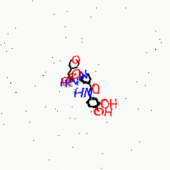 O=C(Nc1ccc(O)c(O)c1)c1ccnc(NS(=O)(=O)CC2CCOCC2)c1